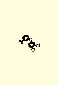 CC(C)c1cccc(Oc2ccc(Cl)c(Cl)c2)c1